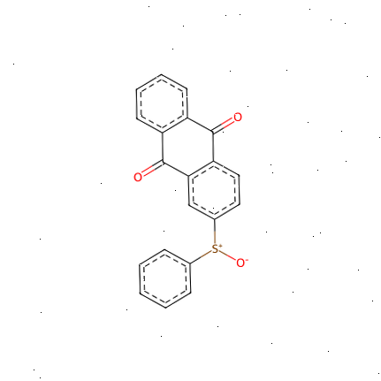 O=C1c2ccccc2C(=O)c2cc([S+]([O-])c3ccccc3)ccc21